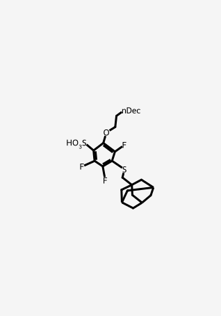 CCCCCCCCCCCCOc1c(F)c(SCC23CC4CC(CC(C4)C2)C3)c(F)c(F)c1S(=O)(=O)O